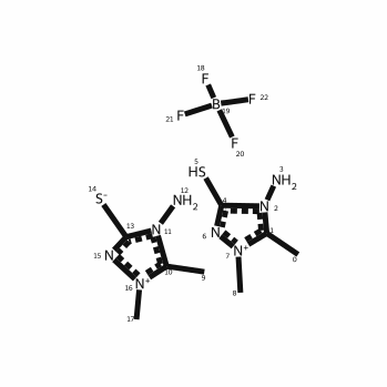 Cc1n(N)c(S)n[n+]1C.Cc1n(N)c([S-])n[n+]1C.F[B-](F)(F)F